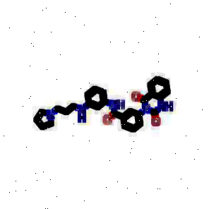 O=C(Nc1cccc(NCCCN2CCCC2)c1)c1cccc(-n2c(=O)[nH]c3ccccc3c2=O)c1